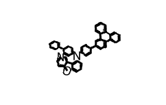 c1ccc(-c2ccc(N(c3ccc(-c4ccc5c6ccccc6c6ccccc6c5c4)cc3)c3cccc4oc5ccncc5c34)cc2)cc1